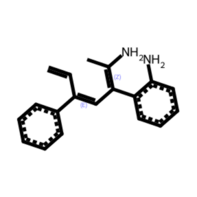 C=C/C(=C\C(=C(/C)N)c1ccccc1N)c1ccccc1